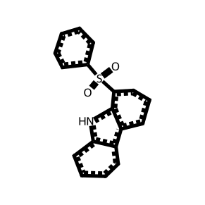 O=S(=O)(c1ccccc1)c1cccc2c1[nH]c1ccccc12